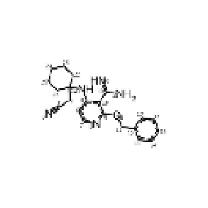 N#CCC1(Nc2ccnc(OCc3ccccc3)c2C(=N)N)CCCCC1